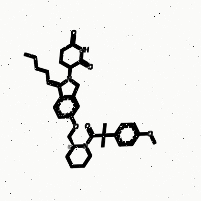 CCCCC=C1c2ccc(OC[C@@H]3CCCCN3C(=O)C(C)(C)c3ccc(OC)cc3)cc2CN1C1CCC(=O)NC1=O